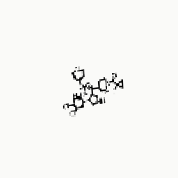 CN(C(=O)Oc1ccncc1)[C@]1(C(=O)C2CCN(C(=O)C3(C)CC3)CC2)CNC[C@H]1c1ccc(Cl)c(Cl)c1